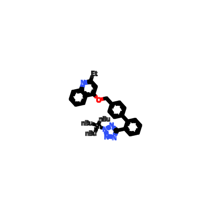 CCC[CH2][Sn]([CH2]CCC)([CH2]CCC)[n]1nnc(-c2ccccc2-c2ccc(COc3cc(CC)nc4ccccc34)cc2)n1